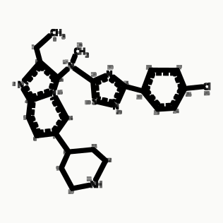 CCc1nc2ccc(C3CCNCC3)cn2c1N(C)c1nc(-c2ccc(Cl)cc2)ns1